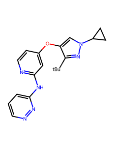 CC(C)(C)c1nn(C2CC2)cc1Oc1ccnc(Nc2cccnn2)c1